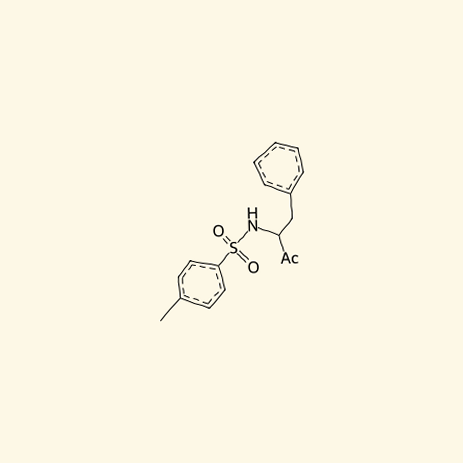 CC(=O)C(Cc1ccccc1)NS(=O)(=O)c1ccc(C)cc1